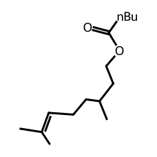 CCCCC(=O)OCCC(C)CCC=C(C)C